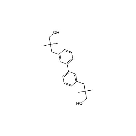 CC(C)(CO)Cc1cccc(-c2cccc(CC(C)(C)CO)c2)c1